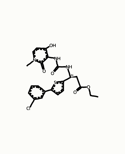 CCOC(=O)C[C@H](NC(=O)Nc1c(O)ccn(C)c1=O)c1ccc(-c2cccc(Cl)c2)s1